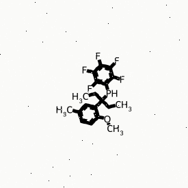 CCC(CC)(Pc1c(F)c(F)c(F)c(F)c1F)c1cc(C)ccc1OC